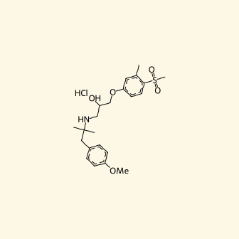 COc1ccc(CC(C)(C)NCC(O)COc2ccc(S(C)(=O)=O)c(C)c2)cc1.Cl